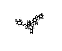 O=C(C=Cc1ccc(F)c(F)c1)NC1(C(=O)Nc2ccc(Oc3ccccc3)cc2)CCNCC1